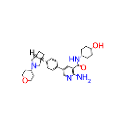 Nc1ncc(-c2ccc([C@@]34CC[C@@H]3CN(C3CCOCC3)C4)cc2)cc1C(=O)N[C@H]1CC[C@@H](O)CC1